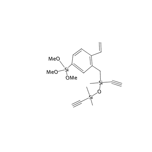 C#C[Si](C)(C)O[Si](C)(C#C)Cc1cc([Si](OC)(OC)OC)ccc1C=C